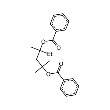 CCC(C)(CC(C)(C)OC(=O)c1ccccc1)OC(=O)c1ccccc1